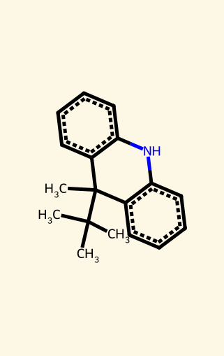 CC(C)(C)C1(C)c2ccccc2Nc2ccccc21